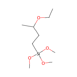 CCOC(C)CC[Si](OC)(OC)OC